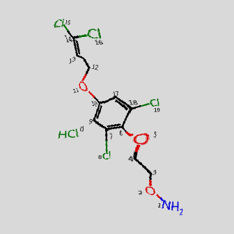 Cl.NOCCOc1c(Cl)cc(OCC=C(Cl)Cl)cc1Cl